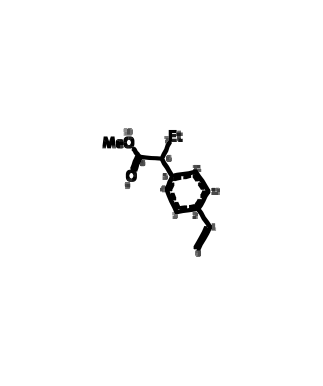 C=Cc1ccc(C(CC)C(=O)OC)cc1